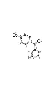 CCc1ccc(C(=O)c2cc[nH]c2)cc1